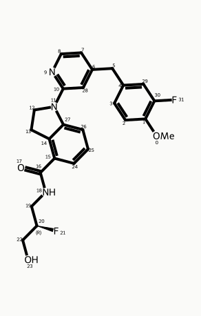 COc1ccc(Cc2ccnc(N3CCc4c(C(=O)NC[C@@H](F)CO)cccc43)c2)cc1F